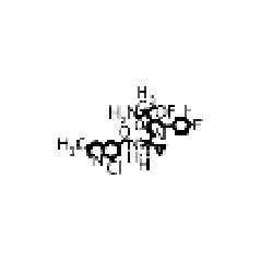 Cc1cnc2c(Cl)cc(C(=O)NC[C@](O)(c3cc4c(c(-c5ccc(F)c(F)c5F)n3)OC[C@]4(C)C(N)=O)C3CC3)cc2c1